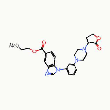 COCCOC(=O)c1ccc2c(c1)ncn2-c1cccc(N2CCN(C3CCOC3=O)CC2)c1